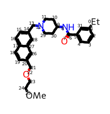 CCc1cccc(C(=O)NC2CCN(Cc3ccc4ccc(COCCOC)cc4c3)CC2)c1